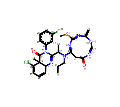 C=C1/N=C(SC)\N=C(\N(CCC)C(C)C2=NC3C=CC=C(Cl)C3(C)C(=O)N2c2cccc(F)c2)CC(=O)/N=C\N1